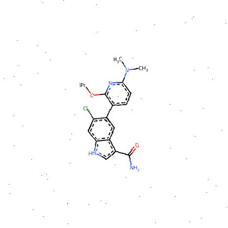 CC(C)Oc1nc(N(C)C)ccc1-c1cc2c(C(N)=O)c[nH]c2cc1Cl